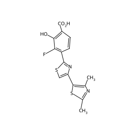 Cc1nc(C)c(-c2csc(-c3ccc(C(=O)O)c(O)c3F)n2)s1